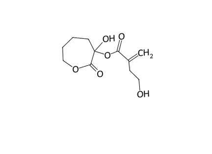 C=C(CCO)C(=O)OC1(O)CCCCOC1=O